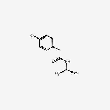 CS[C@@H](C)NC(=O)Cc1ccc(Cl)cc1